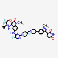 Cn1nc(C2CCC(=O)NC2=O)c2ccc(C3CCN(CC4(F)CCN(c5ncc(F)c(Nc6ccc7c(c6)c6c(c(=O)n7C)OCC(F)(F)C(C7CC7)N6)n5)CC4)CC3)cc21